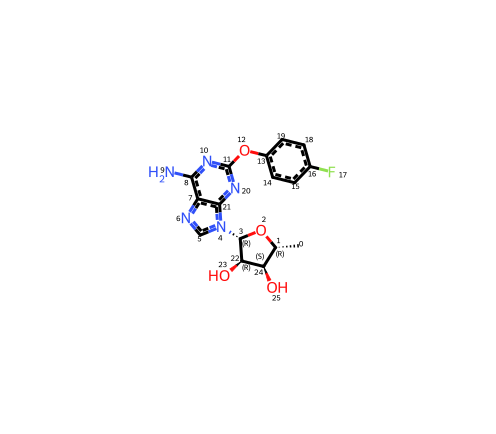 C[C@H]1O[C@@H](n2cnc3c(N)nc(Oc4ccc(F)cc4)nc32)[C@H](O)[C@@H]1O